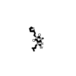 CC(C)=CCn1c(Br)nc2c1c(=O)n(CCc1cccs1)c(=O)n2C